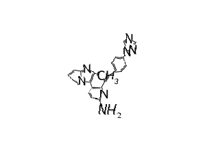 Cc1nc2ccccn2c1-c1ccc(N)nc1C#Cc1ccc(-n2cncn2)cc1